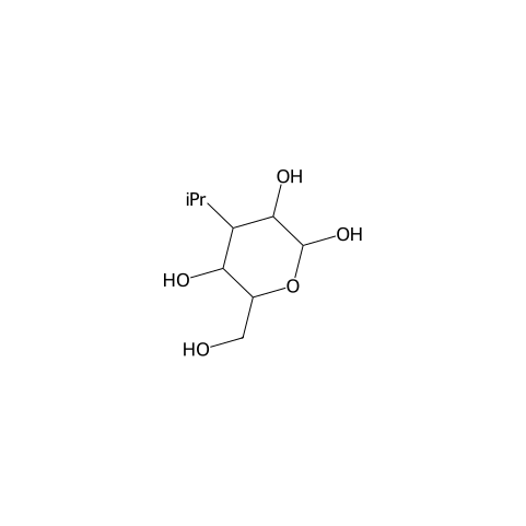 CC(C)C1C(O)C(O)OC(CO)C1O